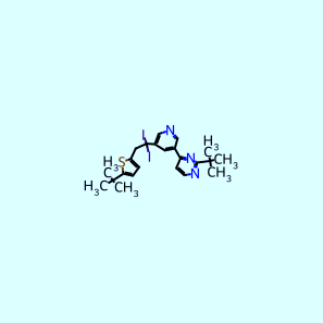 CC(C)(C)c1nccc(-c2cncc(C(I)(I)Cc3ccc(C(C)(C)C)s3)c2)n1